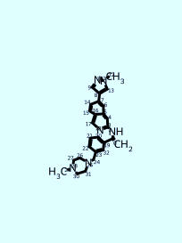 C=C(Nc1cc2cc(-c3cnn(C)c3)ccc2cn1)c1cccc(CN2CCN(C)CC2)c1